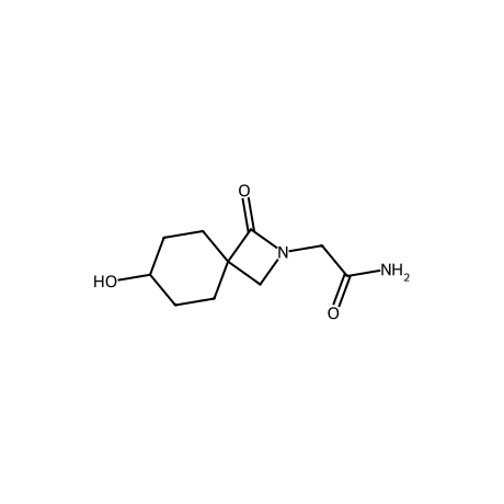 NC(=O)CN1CC2(CCC(O)CC2)C1=O